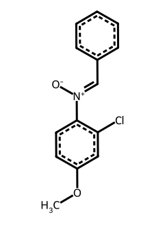 COc1ccc([N+]([O-])=Cc2ccccc2)c(Cl)c1